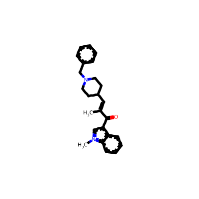 C/C(=C\C1CCN(Cc2ccccc2)CC1)C(=O)c1cn(C)c2ccccc12